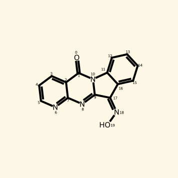 O=c1c2cccnc2nc2n1-c1ccccc1C2=NO